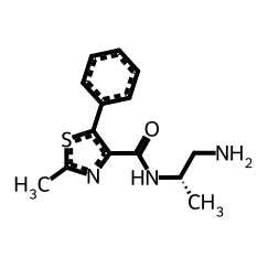 Cc1nc(C(=O)N[C@@H](C)CN)c(-c2ccccc2)s1